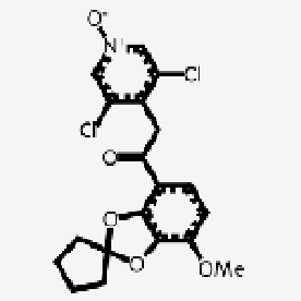 COc1ccc(C(=O)Cc2c(Cl)c[n+]([O-])cc2Cl)c2c1OC1(CCCC1)O2